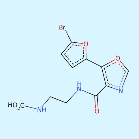 O=C(O)NCCNC(=O)c1ncoc1-c1ccc(Br)o1